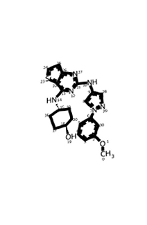 COc1cccc(-n2cc(Nc3nc(N[C@H]4CC[C@H](O)CC4)c4sccc4n3)cn2)c1